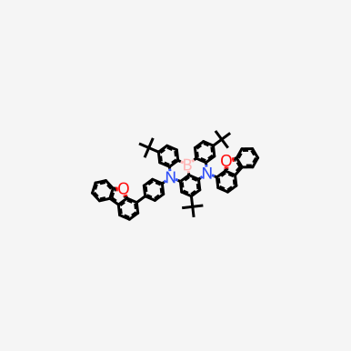 CC(C)(C)c1ccc2c(c1)N(c1ccc(-c3cccc4c3oc3ccccc34)cc1)c1cc(C(C)(C)C)cc3c1B2c1ccc(C(C)(C)C)cc1N3c1cccc2c1oc1ccccc12